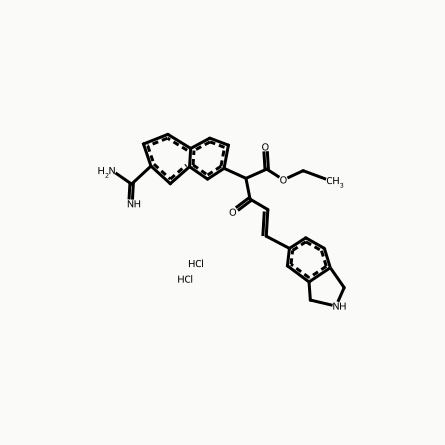 CCOC(=O)C(C(=O)/C=C/c1ccc2c(c1)CNC2)c1ccc2ccc(C(=N)N)cc2c1.Cl.Cl